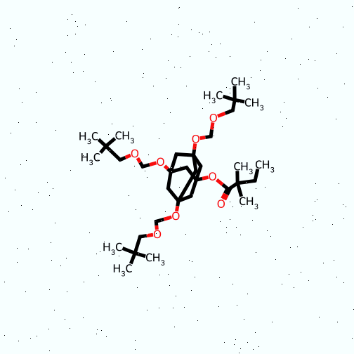 CCC(C)(C)C(=O)OC12CC3(OCOCC(C)(C)C)CC(OCOCC(C)(C)C)(CC(OCOCC(C)(C)C)(C3)C1)C2